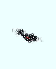 CNCC(=O)NN=Cc1cc2cc3c(c(O)c2c(=O)[nH]1)C1(CC3)C(=O)c2c(O)c3c(c(O)c2C1=O)C(=O)C(OC)=CC3=O